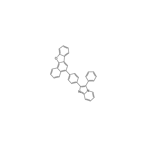 c1ccc(-c2c(-c3ccc(-c4cc5c6ccccc6oc5c5ccccc45)cc3)nc3ccccn23)cc1